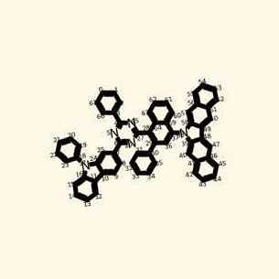 c1ccc(-c2nc(-c3ccc4c5ccccc5n(-c5ccccc5)c4c3)nc(-c3c(-c4ccccc4)cc(-n4c5cc6ccccc6cc5c5cc6ccccc6cc54)c4ccccc34)n2)cc1